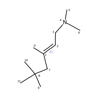 C/C(=C\CN(C)C)CC(C)(C)C